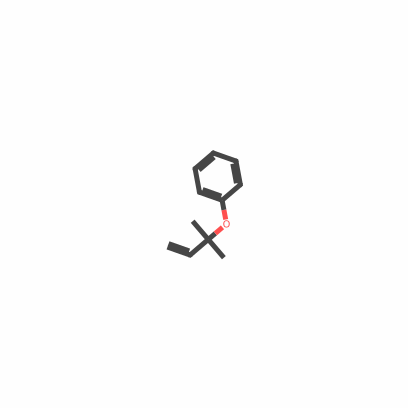 C=CC(C)(C)Oc1cc[c]cc1